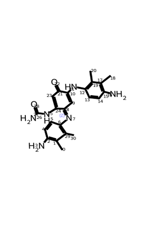 Cc1c(N)ccc(/N=C2/C=C(Nc3ccc(N)c(C)c3C)C(=O)C=C2NC(N)=O)c1C